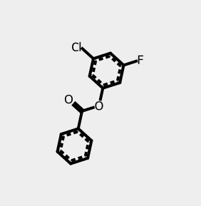 O=C(Oc1cc(F)cc(Cl)c1)c1ccccc1